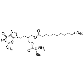 CCCCCCCCCCCCCCCCCCCC(=O)OCC(CCn1cnc2c(=O)[nH]c(N)nc21)COC(=O)[C@@H](N)C(C)CC